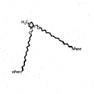 CCCCCC=CCC=CCCCCCCCCCCOC[C@@H]1CN(C)C[C@H]1COCCCCCCCCCCC=CCC=CCCCCC